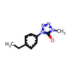 CCc1ccc(-n2nnn(C)c2=O)cc1